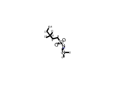 CN(C)/C=N/S(=O)(=O)CCC(C)(C)CI